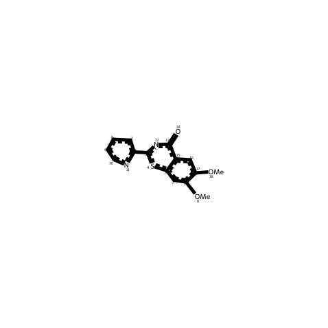 COc1cc2sc(-c3ccccn3)nc(=O)c2cc1OC